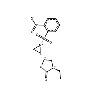 CC[C@@H]1C[C@@H](C2C[N@]2S(=O)(=O)c2ccccc2[N+](=O)[O-])OC1=O